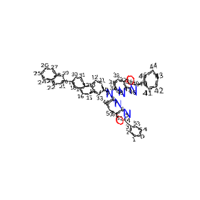 c1ccc(-c2nc3nc(N(c4ccc5c(ccc6cc(-c7ccc8ccccc8c7)ccc65)c4)c4ccc5oc(-c6ccccc6)nc5n4)ccc3o2)cc1